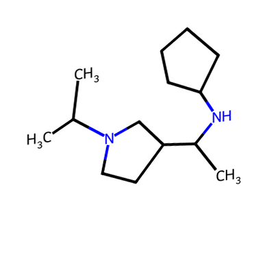 CC(NC1CCCC1)C1CCN(C(C)C)C1